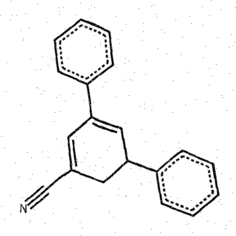 N#CC1=CC(c2ccccc2)=CC(c2ccccc2)C1